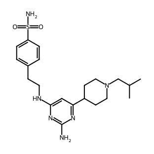 C[C](C)CN1CCC(c2cc(NCCc3ccc(S(N)(=O)=O)cc3)nc(N)n2)CC1